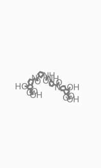 O=C(Nc1cccc(C(=O)N=C2C=CC3=C(O)C=C(S(=O)(=O)O)CC3=C2)c1)Nc1cccc(C(=O)N=C2C=CC3=C(O)C=C(S(=O)(=O)O)CC3=C2)c1